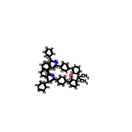 CC1(C)c2cccc(-c3ccc(-c4cc(-c5ccccc5)cc(-c5ccccc5)n4)cc3)c2Oc2c(-c3ccc(-c4cc(-c5ccccc5)cc(-c5ccccc5)n4)cc3)cccc21